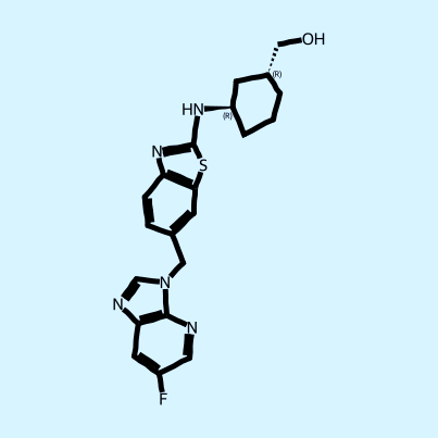 OC[C@@H]1CCC[C@@H](Nc2nc3ccc(Cn4cnc5cc(F)cnc54)cc3s2)C1